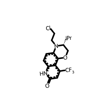 CC(C)[C@@H]1COc2c(ccc3[nH]c(=O)cc(C(F)(F)F)c23)N1CCCl